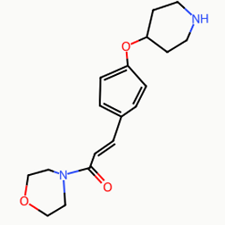 O=C(/C=C/c1ccc(OC2CCNCC2)cc1)N1CCOCC1